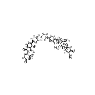 CC1(C)[C@H](NC(=O)c2ccc(N3CCC(CN4CCN(c5ccc6c(c5F)C(=O)N(C5CCC(=O)NC5=O)C6=O)CC4)CC3)nn2)C(C)(C)[C@H]1Oc1ccc(C#N)c(Cl)c1